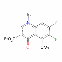 CCOC(=O)c1cn(CC)c2cc(F)c(F)c(OC)c2c1=O